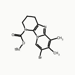 Cc1c(Br)cn2c3c(nc2c1C)CCCN3C(=O)OC(C)(C)C